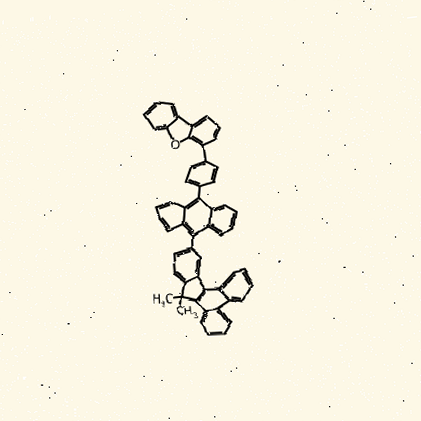 CC1(C)c2ccc(-c3c4ccccc4c(-c4ccc(-c5cccc6c5oc5ccccc56)cc4)c4ccccc34)cc2-c2c1c1ccccc1c1ccccc21